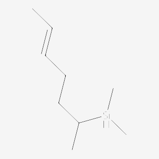 CC=CCCC(C)[SiH](C)C